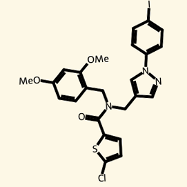 COc1ccc(CN(Cc2cnn(-c3ccc(I)cc3)c2)C(=O)c2ccc(Cl)s2)c(OC)c1